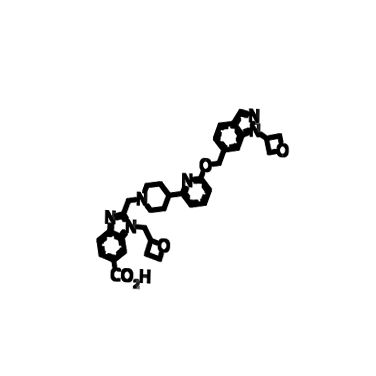 O=C(O)c1ccc2nc(CN3CCC(c4cccc(OCc5ccc6cnn(C7COC7)c6c5)n4)CC3)n(CC3CCO3)c2c1